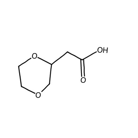 O=C(O)CC1COCCO1